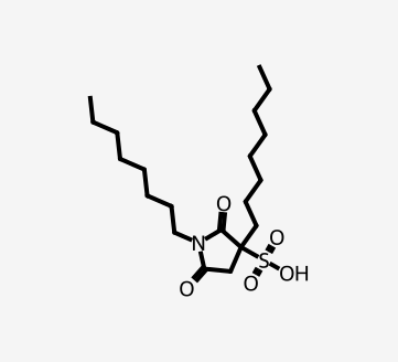 CCCCCCCCN1C(=O)CC(CCCCCCCC)(S(=O)(=O)O)C1=O